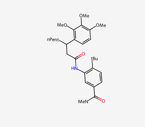 CCCCCC(CC(=O)Nc1cc(C(=O)NC)ccc1C(C)(C)C)c1ccc(OC)c(OC)c1OC